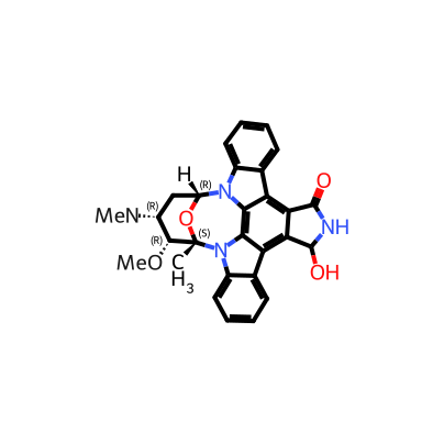 CN[C@@H]1C[C@H]2O[C@@](C)([C@@H]1OC)n1c3ccccc3c3c4c(c5c6ccccc6n2c5c31)C(=O)NC4O